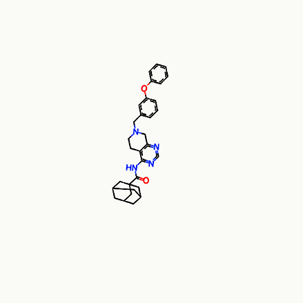 O=C(Nc1ncnc2c1CCN(Cc1cccc(Oc3ccccc3)c1)C2)C12CC3CC(CC(C3)C1)C2